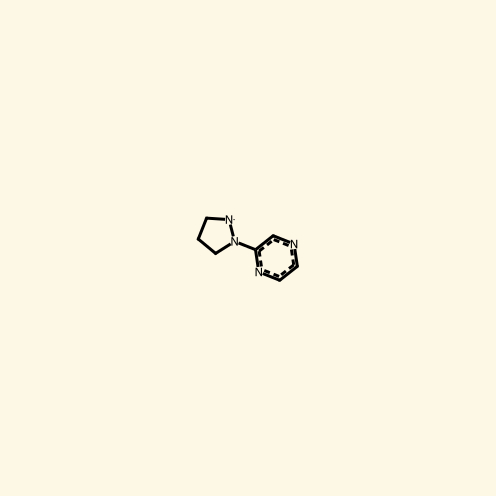 c1cnc(N2CCC[N]2)cn1